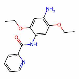 CCOc1cc(NC(=O)c2ccccn2)c(OCC)cc1N